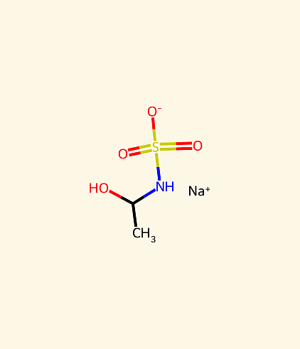 CC(O)NS(=O)(=O)[O-].[Na+]